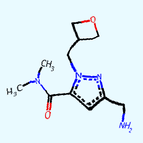 CN(C)C(=O)c1cc(CN)nn1CC1COC1